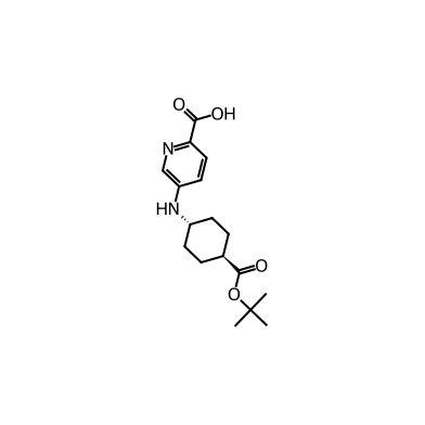 CC(C)(C)OC(=O)[C@H]1CC[C@H](Nc2ccc(C(=O)O)nc2)CC1